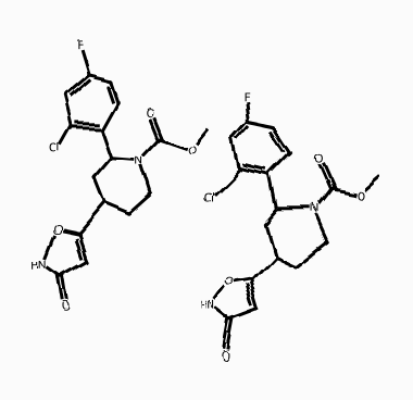 COC(=O)N1CCC(c2cc(=O)[nH]o2)CC1c1ccc(F)cc1Cl.COC(=O)N1CCC(c2cc(=O)[nH]o2)CC1c1ccc(F)cc1Cl